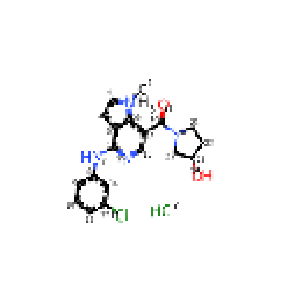 Cl.Cn1ccc2c(Nc3cccc(Cl)c3)ncc(C(=O)N3CC[C@@H](O)C3)c21